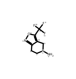 NN1CCc2noc(C(F)(F)F)c2C1